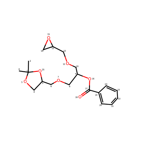 CC1(C)OCC(COCC(COCC2CO2)OC(=O)c2ccccc2)O1